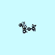 Cc1cccc2c1n(-c1ccc(-c3cncc4c3cnn4C)cc1)c(=O)n2CC(=O)N1CCC[C@H]1C(F)(F)F